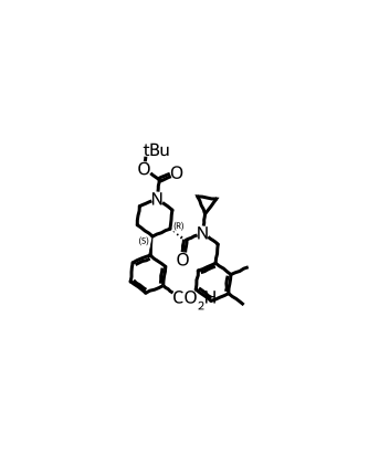 Cc1cccc(CN(C(=O)[C@H]2CN(C(=O)OC(C)(C)C)CC[C@@H]2c2cccc(C(=O)O)c2)C2CC2)c1C